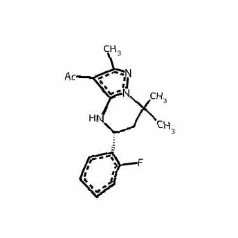 CC(=O)c1c(C)nn2c1N[C@@H](c1ccccc1F)CC2(C)C